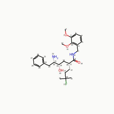 COc1cccc(CNC(=O)[C@H](CCC(C)(C)F)C[C@H](O)[C@@H](N)Cc2ccccc2)c1OC